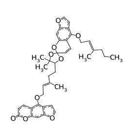 CCC/C(C)=C/COc1c2c(cc3occc13)OC1(C=C2)OC(CC/C(C)=C/COc2c3ccoc3cc3oc(=O)ccc23)C(C)(C)O1